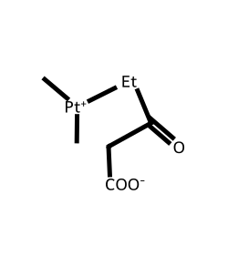 CCC(=O)CC(=O)[O-].[CH3][Pt+]([CH3])[CH3]